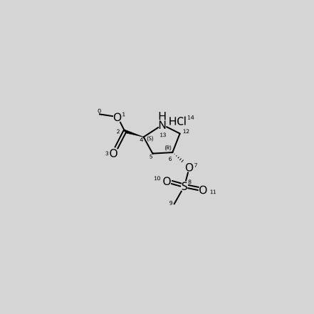 COC(=O)[C@@H]1C[C@@H](OS(C)(=O)=O)CN1.Cl